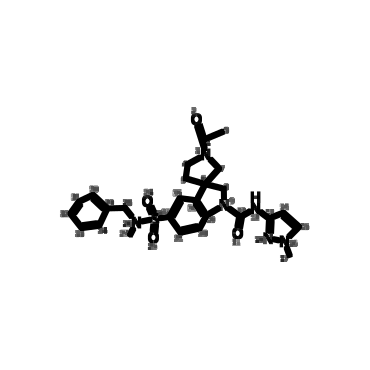 CC(=O)N1CCC2(C1)CN(C(=O)Nc1ccn(C)n1)c1ccc(S(=O)(=O)N(C)Cc3ccccc3)cc12